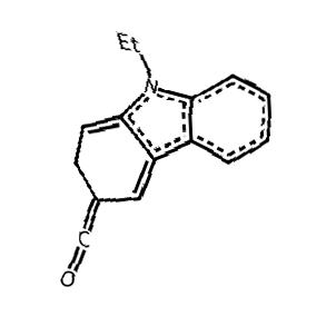 CCn1c2c(c3ccccc31)=CC(=C=O)CC=2